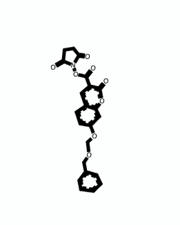 O=C(ON1C(=O)CCC1=O)c1cc2ccc(OCOCc3ccccc3)cc2oc1=O